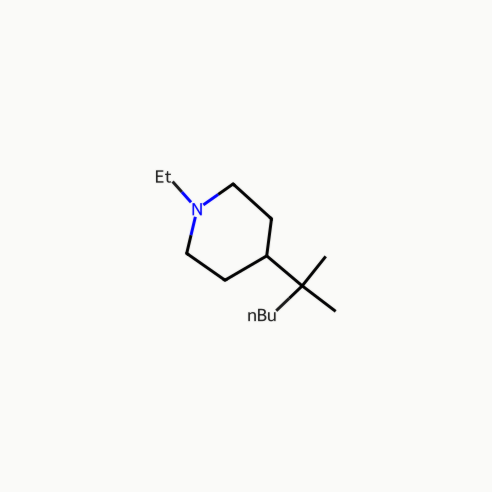 CCCCC(C)(C)C1CCN(CC)CC1